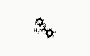 NC(Oc1cccnc1)c1ccccc1